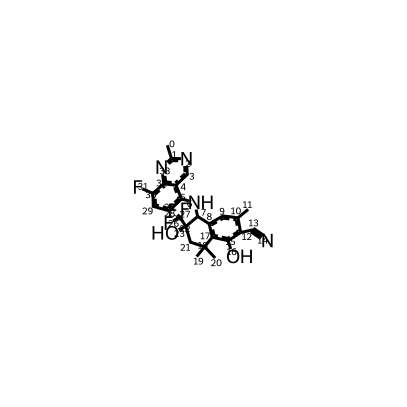 Cc1ncc2c(NC3c4cc(C)c(C#N)c(O)c4C(C)(C)CC3(O)C(F)(F)F)ccc(F)c2n1